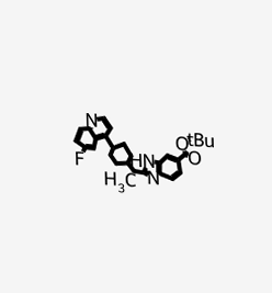 CC(c1nc2ccc(C(=O)OC(C)(C)C)cc2[nH]1)C1CCC(c2ccnc3ccc(F)cc23)CC1